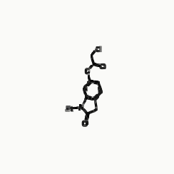 CCN1C(=O)Cc2ccc(OC(=O)CCl)cc21